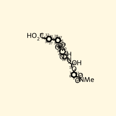 CNS(=O)(=O)c1cccc(OCC(O)CNC2COC3(CCN(S(=O)(=O)c4cccc(-c5ccc(CC(=O)O)cc5)c4)CC3)C2)c1